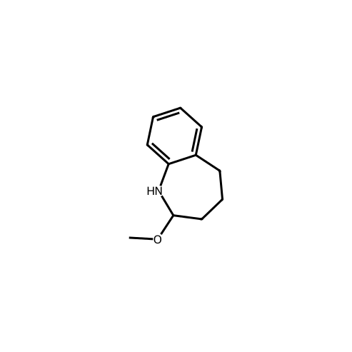 COC1CCCc2ccccc2N1